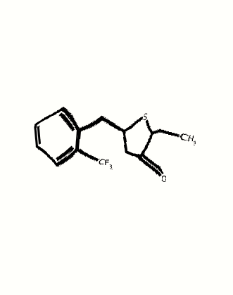 CC1SC(Cc2ccccc2C(F)(F)F)CC1=O